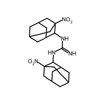 N=C(NC1C2CC3CC(C2)CC1([N+](=O)[O-])C3)NC1C2CC3CC(C2)CC1([N+](=O)[O-])C3